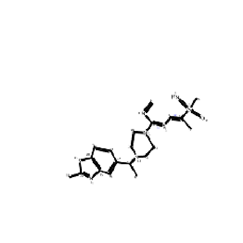 C=N/C(=N\C=C(/C)S(C)(=N)=O)N1CCN(C(C)c2ccc3sc(C)nc3c2)CC1